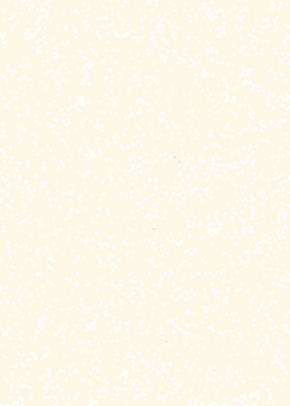 CC(C)N(C(=O)C(C#N)=Cc1ccc(C(F)(F)F)cc1)c1ccc2nc(S)sc2c1